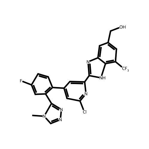 Cn1cnnc1-c1cc(F)ccc1-c1cc(Cl)nc(-c2nc3cc(CO)cc(C(F)(F)F)c3[nH]2)c1